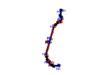 CC(C)(C)OC(=O)NC(CCC(=O)NCCCOCCOCCOCCCNS(=O)(=O)c1ccc(-c2ccc(S(=O)(=O)NC(CNC(=O)c3ccc4c(cnn4CCCNc4ncc[nH]4)c3)C(=O)O)cc2)cc1)C(=O)NCCCOCCOCCOCCCNS(=O)(=O)c1ccc(-c2ccc(S(=O)(=O)NC(CNC(=O)c3ccc4c(cnn4CCCNc4ncc[nH]4)c3)C(=O)O)cc2)cc1